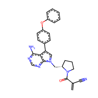 C=C(C#N)C(=O)N1CCC[C@H]1Cn1cc(-c2ccc(Oc3ccccc3)cc2)c2c(N)ncnc21